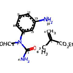 C=C(C)C(=O)OCC.NC(=O)N(C=O)c1cccc(N)c1